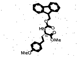 COC(=O)[C@H](CCc1ccc(OC)cc1)NC(=O)OCC1c2ccccc2-c2ccccc21